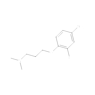 CN(C)CCCOc1ccc([N+](=O)[O-])cc1F